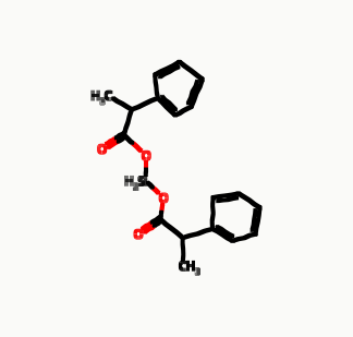 CC(C(=O)O[SiH2]OC(=O)C(C)c1ccccc1)c1ccccc1